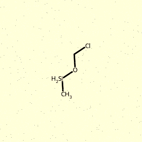 C[SiH2]OCCl